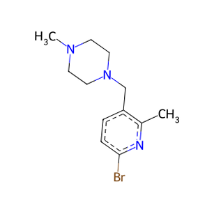 Cc1nc(Br)ccc1CN1CCN(C)CC1